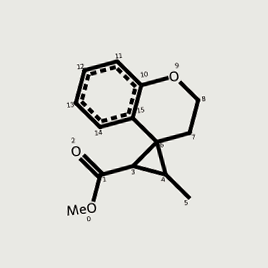 COC(=O)C1C(C)C12CCOc1ccccc12